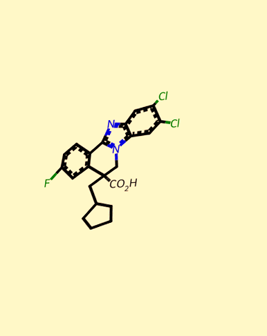 O=C(O)C1(CC2CCCC2)Cn2c(nc3cc(Cl)c(Cl)cc32)-c2ccc(F)cc21